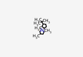 CC1CC[N+](C)(C2(C)CCC(C(C)(C)C)C2)C1